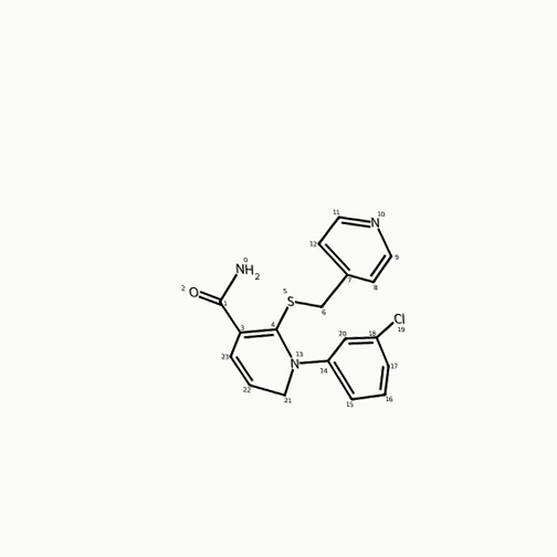 NC(=O)C1=C(SCc2ccncc2)N(c2cccc(Cl)c2)CC=C1